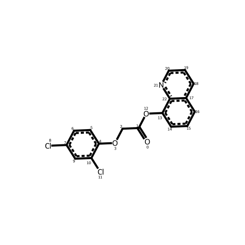 O=C(COc1ccc(Cl)cc1Cl)Oc1cccc2cccnc12